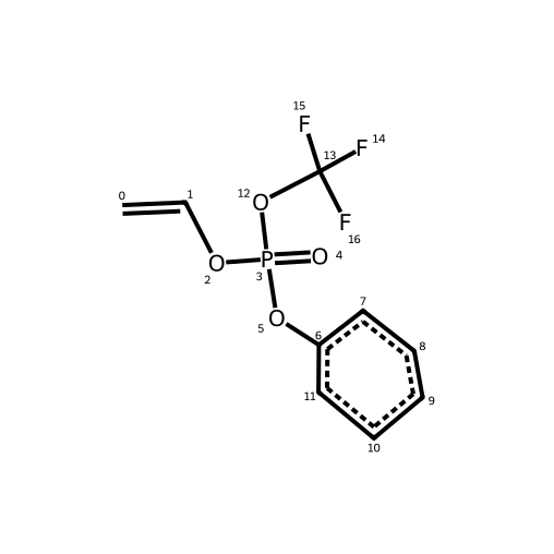 C=COP(=O)(Oc1ccccc1)OC(F)(F)F